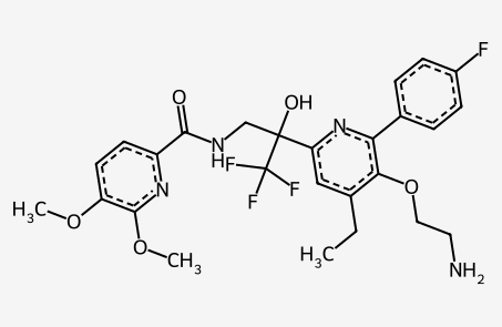 CCc1cc(C(O)(CNC(=O)c2ccc(OC)c(OC)n2)C(F)(F)F)nc(-c2ccc(F)cc2)c1OCCN